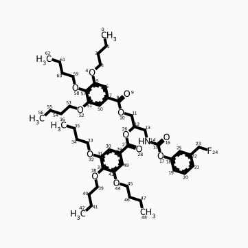 CCCCOc1cc(C(=O)OCC(CNC(=O)Oc2cccc(CF)c2)OC(=O)c2cc(OCCCC)c(OCCCC)c(OCCCC)c2)cc(OCCCC)c1OCCCC